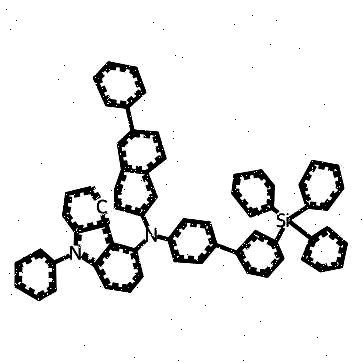 c1ccc(-c2ccc3cc(N(c4ccc(-c5cccc([Si](c6ccccc6)(c6ccccc6)c6ccccc6)c5)cc4)c4cccc5c4c4ccccc4n5-c4ccccc4)ccc3c2)cc1